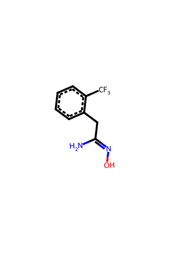 N/C(Cc1ccccc1C(F)(F)F)=N\O